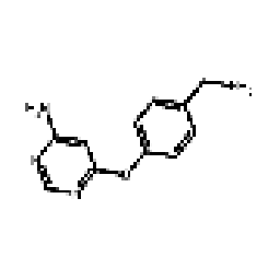 NCc1ccc(Oc2cc(N)ncn2)cc1